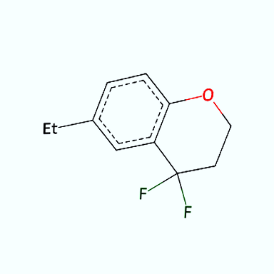 CCc1ccc2c(c1)C(F)(F)CCO2